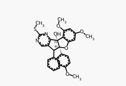 COc1ccc([C@@]23Oc4cc(OC)cc(OC)c4[C@]2(O)c2nc(SC)ncc2C3c2ccccc2)cc1